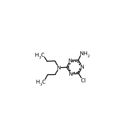 CCCN(CCC)c1nc(N)nc(Cl)n1